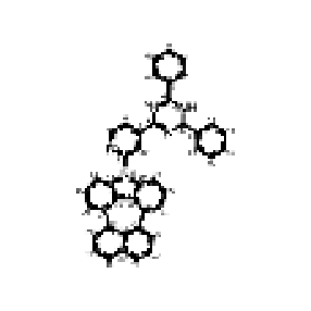 c1ccc(C2=NC(c3ccnc(-n4c5cccc6c5c5c(cccc54)-c4cccc5cccc-6c45)c3)=NC(c3ccccc3)N2)cc1